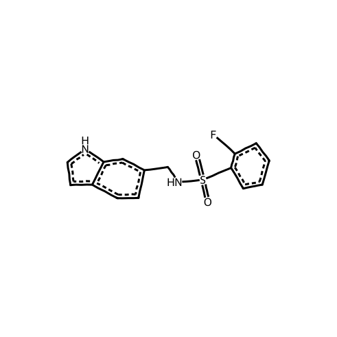 O=S(=O)(NCc1ccc2cc[nH]c2c1)c1ccccc1F